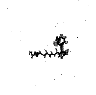 NCCCCCCCC12CCC(CC1)CC2c1cccnc1